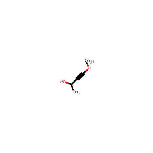 CC(O)C#COC(=O)O